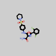 NC(=O)c1nc(-c2c(F)cccc2F)oc1Nc1ccc(S(=O)(=O)N2CCCCC2)cc1